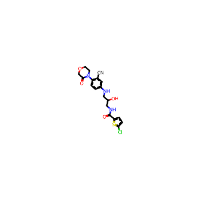 N#Cc1cc(NCC(O)CNC(=O)c2ccc(Cl)s2)ccc1N1CCOCC1=O